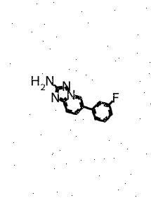 Nc1nc2ccc(-c3cccc(F)c3)cn2n1